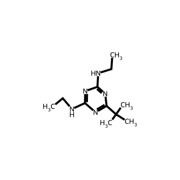 CCNc1nc(NCC)nc(C(C)(C)C)n1